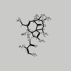 C/C=C(/C)C(=O)O[C@H]1C(C)=CC23C(=O)[C@@H](C=C(CO)[C@@H](O)[C@]12O)C(C)(C)[C@@H](C)CC3C